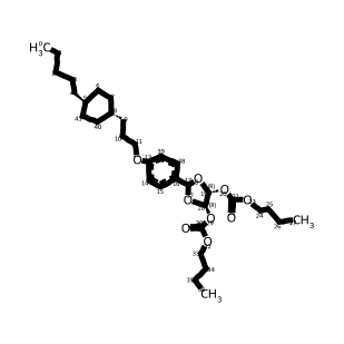 CCCCC[C@H]1CC[C@H](CCCOc2ccc(C3O[C@H](OC(=O)OCCCC)[C@@H](OC(=O)OCCCC)O3)cc2)CC1